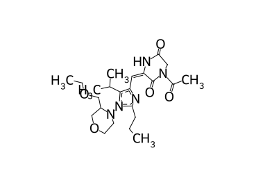 CCCc1nc(C=C2NC(=O)CN(C(C)=O)C2=O)c(C(C)C)n1N1CCOCC1COCC